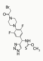 COC(=S)NC(c1cc(F)c(N2CCN(C(=O)CBr)CC2)c(F)c1)c1c[nH]nn1